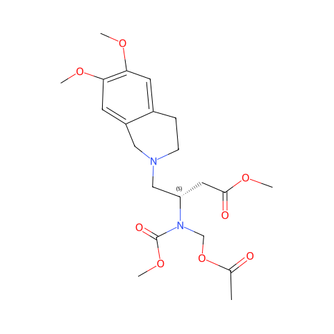 COC(=O)C[C@@H](CN1CCc2cc(OC)c(OC)cc2C1)N(COC(C)=O)C(=O)OC